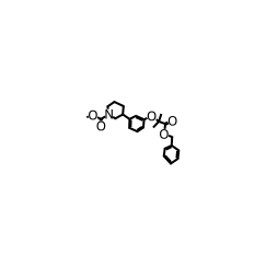 COC(=O)N1CCCC(c2cccc(OC(C)(C)C(=O)OCc3ccccc3)c2)C1